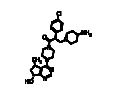 C[C@@H]1C[C@@H](O)c2ncnc(N3CCN(C(=O)C(CN4CCC(N)CC4)c4ccc(Cl)cc4)CC3)c21